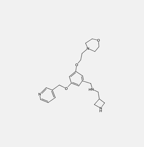 c1cncc(COc2cc(CNCC3CNC3)cc(OCCN3CCOCC3)c2)c1